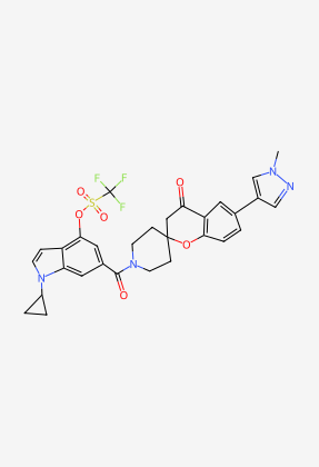 Cn1cc(-c2ccc3c(c2)C(=O)CC2(CCN(C(=O)c4cc(OS(=O)(=O)C(F)(F)F)c5ccn(C6CC6)c5c4)CC2)O3)cn1